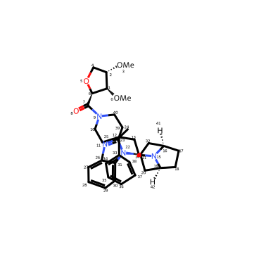 CO[C@@H]1[C@@H](OC)CO[C@@H]1C(=O)N1CCC(CCN2[C@@H]3CC[C@H]2C[C@@H](n2c(C)nc4ccccc42)C3)(c2ccccc2)CC1